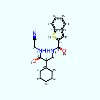 N#CCNC(=O)C(CNC(=O)c1cc2ccccc2s1)C1CCCCC1